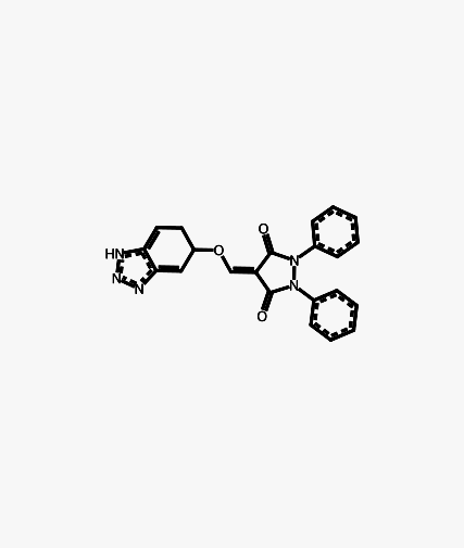 O=C1C(=COC2C=c3nn[nH]c3=CC2)C(=O)N(c2ccccc2)N1c1ccccc1